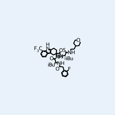 CCC(C)[C@H](NC(=O)Cc1ccccc1F)C(=O)N[C@]1(C(=O)NC(C(=S)NCCC2CCOCC2)[C@@H](C)CC)CCc2[nH]c3c(C(F)(F)F)cccc3c2C1